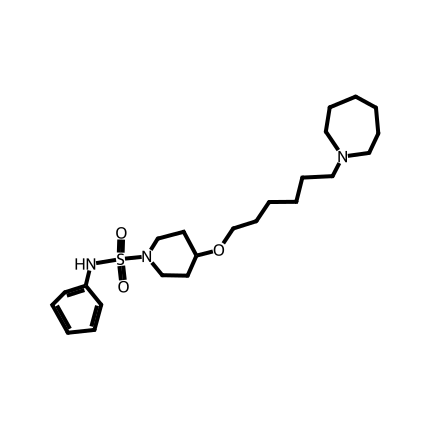 O=S(=O)(Nc1ccccc1)N1CCC(OCCCCCCN2CCCCCC2)CC1